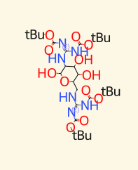 CC(C)(C)OC(=O)/N=C(/NCC1OC(O)C(N/C(=N\C(=O)OC(C)(C)C)NC(=O)OC(C)(C)C)C(O)C1O)NC(=O)OC(C)(C)C